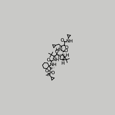 C[C@@H](C1(NC(=O)N[C@H](C(=O)N2C[C@H]3[C@@H]([C@H]2C(=O)N[C@@H](CC2CC2)C(=O)C(=O)NC2CC2)C3(C)C)C(C)(C)C)CCCCC1)S(=O)(=O)N(C)C1CC1